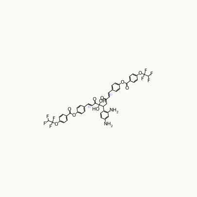 Nc1ccc(C(CC(=O)/C=C/c2ccc(OC(=O)c3ccc(OC(F)(F)C(F)F)cc3)cc2)C(O)(O)C(=O)/C=C/c2ccc(OC(=O)c3ccc(OC(F)(F)C(F)F)cc3)cc2)c(N)c1